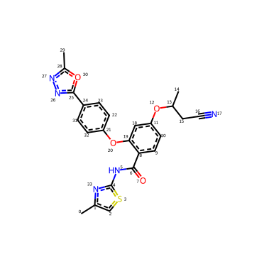 Cc1csc(NC(=O)c2ccc(OC(C)CC#N)cc2Oc2ccc(-c3nnc(C)o3)cc2)n1